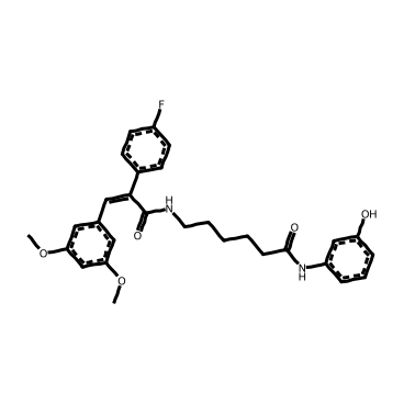 COc1cc(C=C(C(=O)NCCCCCC(=O)Nc2cccc(O)c2)c2ccc(F)cc2)cc(OC)c1